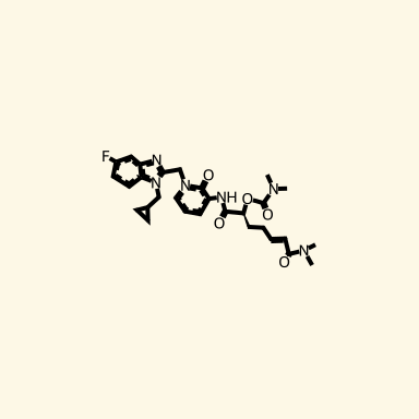 CN(C)C(=O)/C=C/CC[C@H](OC(=O)N(C)C)C(=O)Nc1cccn(Cc2nc3cc(F)ccc3n2CC2CC2)c1=O